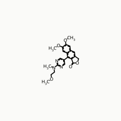 COCCN(C)c1ncc(-c2c3c(cc4cc(OC)c(OC)cc24)COC3=O)cn1